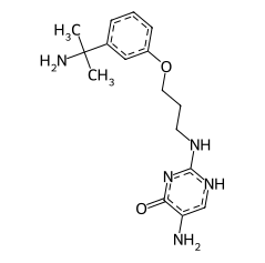 CC(C)(N)c1cccc(OCCCNc2nc(=O)c(N)c[nH]2)c1